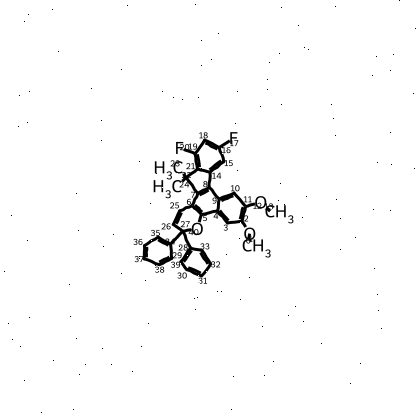 COc1cc2c3c(c4c(c2cc1OC)-c1cc(F)cc(F)c1C4(C)C)C=CC(c1ccccc1)(c1ccccc1)O3